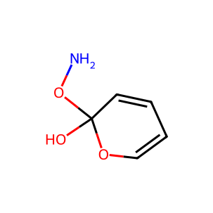 NOC1(O)C=CC=CO1